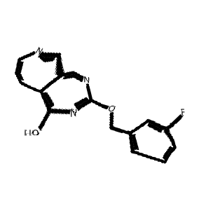 Oc1nc(OCc2cccc(F)c2)nc2cnccc12